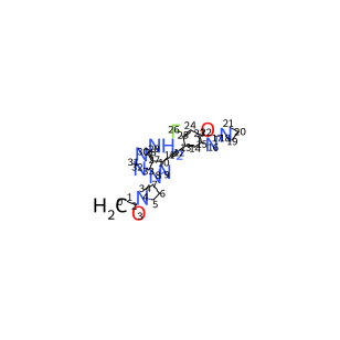 C=CC(=O)N1CCC(n2nc(C#Cc3cc4nc(N5CCC5)oc4cc3F)c3c(N)ncnc32)C1